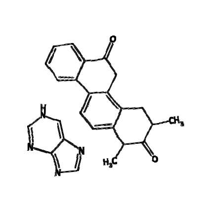 CC1Cc2c(ccc3c2CC(=O)c2ccccc2-3)C(C)C1=O.c1nc2c[nH]cnc-2n1